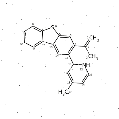 C=C(C)c1cc2sc3ccccc3c2cc1C1C=C(C)C=CN1